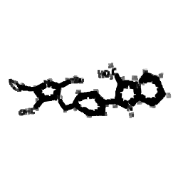 CCCCc1nc(Cl)c(C=O)n1Cc1ccc(-c2nc3ccccn3c2C(=O)O)cc1